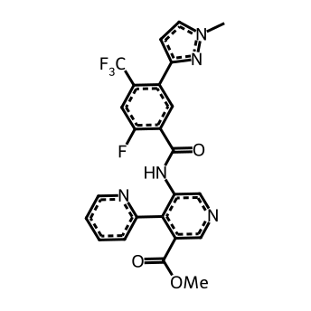 COC(=O)c1cncc(NC(=O)c2cc(-c3ccn(C)n3)c(C(F)(F)F)cc2F)c1-c1ccccn1